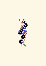 C=CC(=O)N1CCCC(NC(=O)[C@@H]2Sc3nccc4c3C2NC(=O)N4c2ccc(Oc3cccc(C)n3)cc2)C1